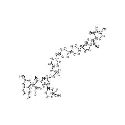 CCc1c(F)ccc2cc(O)cc(-c3ncc4c(N5CCC[C@@](C)(O)C5)nc(OCC5(CN6CCC(CN7CCC(N8CCN(c9ccc%10c(c9)CN([C@H]9CCC(=O)NC9=O)C%10=O)CC8)CC7)CC6)CC5)nc4c3F)c12